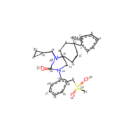 CNC1(c2ccccc2)CCC2(CC1)CN(c1ccccc1CS(C)(=O)=O)C(=O)N2CC1CC1